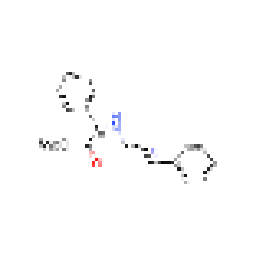 COC(=O)[C@@H](NC/C=C/c1ccccc1)c1ccccc1